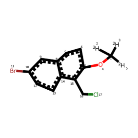 [2H]C([2H])([2H])Oc1ccc2cc(Br)ccc2c1CCl